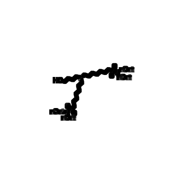 CCCCCCCCN(CCCCCCCC)S(=O)(=O)CCCCCCCN(CCCCO)CCCCCCCS(=O)(=O)N(CCCCCCCC)CCCCCCCC